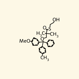 COc1ccc(C(OCC(C)(C)C(=O)SCCO)(c2ccccc2)c2ccc(C)cc2)cc1